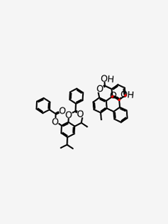 CC(C)c1cc(OC(=O)c2ccccc2)c(OC(=O)c2ccccc2)c(C(C)C)c1.Cc1ccc(C)c(-c2ccccc2C(=O)O)c1-c1ccccc1C(=O)O